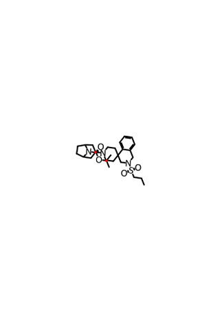 CCCS(=O)(=O)N1Cc2ccccc2C2(CCN(C3CC4CCC(C3)N4C(=O)OC(C)C)CC2)C1